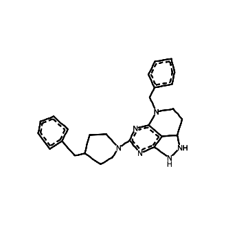 c1ccc(CC2CCN(c3nc4c5c(n3)N(Cc3ccccc3)CCC5NN4)CC2)cc1